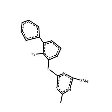 CSc1nc(C)nc(Sc2cccc(-c3ccccc3)c2S)n1